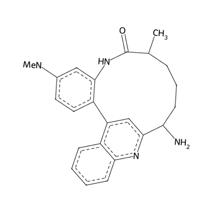 CNc1ccc2c(c1)NC(=O)C(C)CCCC(N)c1cc-2c2ccccc2n1